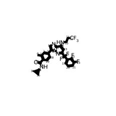 Cc1cc(-c2cnc3c(NCCC(F)(F)F)cc(C(F)(F)c4cccc(F)c4F)nn23)ccc1C(=O)NC1CC1